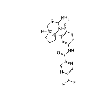 NC1N[C@@]2(c3cc(NC(=O)c4cnc(C(F)F)cn4)ccc3F)CCC[C@H]2CS1